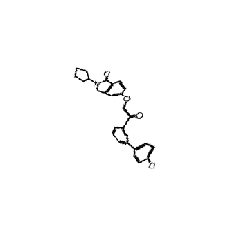 O=C(COc1ccc2c(c1)CN(C1CCCC1)C2=O)c1cccc(-c2ccc(Cl)cc2)c1